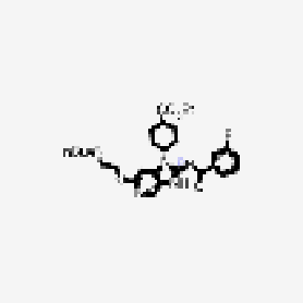 CCCCOCCOc1cc2c(cn1)[nH]/c(=N\C(=O)c1cccc(F)c1)n2[C@H]1CC[C@@H](C(=O)OCC)CC1